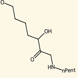 CCCCCNCC(=O)C(O)CCCCO